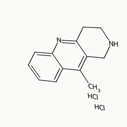 Cc1c2c(nc3ccccc13)CCNC2.Cl.Cl